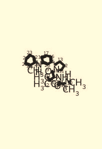 CN[C@@H](C)C(=O)N[C@H](C(=O)N1CCC[C@H]1c1cccc(Nc2ccccc2C)c1)C(C)(C)C